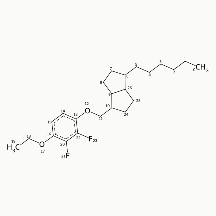 CCCCCCC1CCC2C(COc3ccc(OCC)c(F)c3F)CCC12